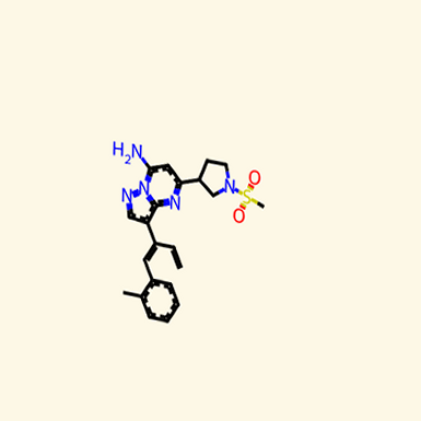 C=C/C(=C\c1ccccc1C)c1cnn2c(N)cc(C3CCN(S(C)(=O)=O)C3)nc12